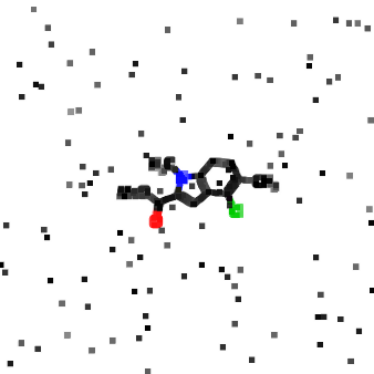 COC(=O)c1cc2c(Cl)c(C)ccc2n1C